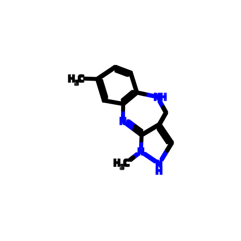 Cc1ccc2c(c1)N=C1C(=CNN1C)CN2